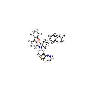 C1=Cc2sc3ccc(N(c4ccc(-c5ccc6ccccc6c5)cc4)c4cccc5c4oc4ccccc45)cc3c2NC1